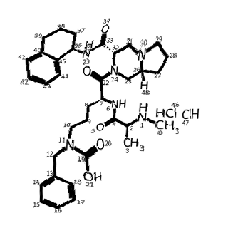 CN[C@@H](C)C(=O)N[C@@H](CCCN(Cc1ccccc1)C(=O)O)C(=O)N1C[C@H]2CCCN2C[C@H]1C(=O)N[C@@H]1CCCc2ccccc21.Cl.Cl